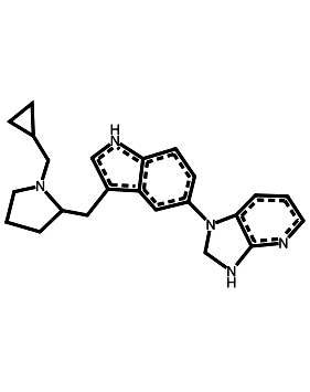 c1cnc2c(c1)N(c1ccc3[nH]cc(CC4CCCN4CC4CC4)c3c1)CN2